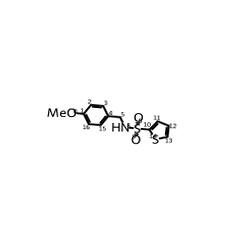 COc1ccc(CNS(=O)(=O)c2cccs2)cc1